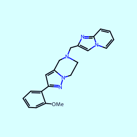 COc1ccccc1-c1cc2n(n1)CCN(Cc1cn3ccccc3n1)C2